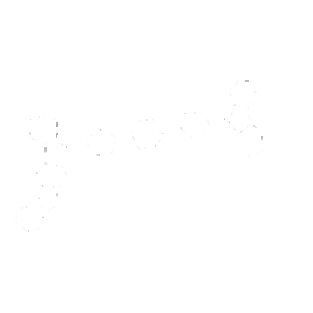 CC(C)(C)c1ccc2c(c1)c1ccccc1n2-c1ccc(-c2ccc(-c3ccc(-n4c5ccccc5c5cc6c(cc54)sc4ccccc46)cc3)cc2)cc1